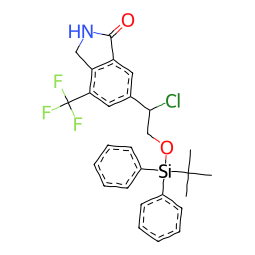 CC(C)(C)[Si](OCC(Cl)c1cc2c(c(C(F)(F)F)c1)CNC2=O)(c1ccccc1)c1ccccc1